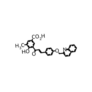 Cc1cc(C(=O)O)cc(C(=O)/C=C/c2ccc(OCc3ccc4ccccc4n3)cc2)c1O